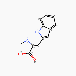 CN[C@@H](Cc1cc2ccccc2[nH]1)C(=O)O